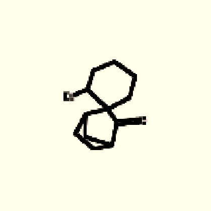 CCC1CCCCC12C(=O)C1CCC2C1